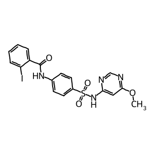 COc1cc(NS(=O)(=O)c2ccc(NC(=O)c3ccccc3I)cc2)ncn1